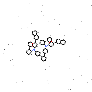 c1ccc(-c2ccccc2N(c2ccc(-c3ccc4ccccc4c3)cc2)c2ccc(-c3ccccc3-c3ccc(N(c4ccc(-c5ccc6ccccc6c5)cc4)c4ccccc4-c4ccccc4)cc3)cc2)cc1